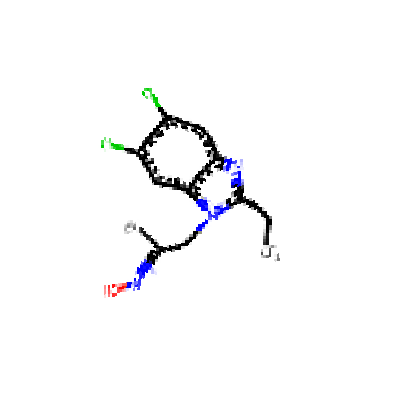 CC/C(Cn1c(CC(F)(F)F)nc2cc(Cl)c(Cl)cc21)=N\O